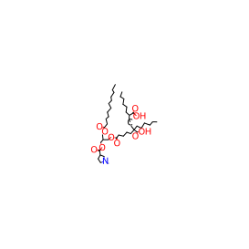 CCCCCCCCCCCC(=O)OCC(COC(=O)CCCCC(CCCCCC)(CCCC(CCCCCC)C(=O)O)C(=O)O)COC(=O)C1CCN(C)C1